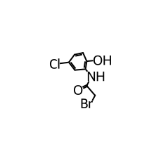 O=C(CBr)Nc1cc(Cl)ccc1O